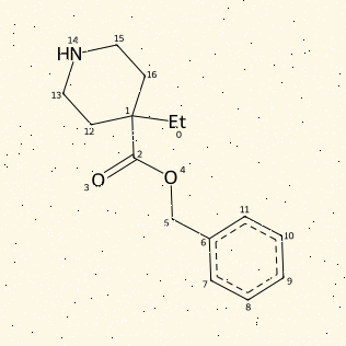 CCC1(C(=O)OCc2ccccc2)CCNCC1